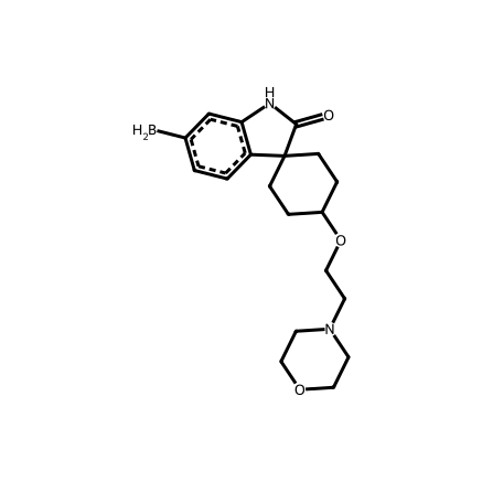 Bc1ccc2c(c1)NC(=O)C21CCC(OCCN2CCOCC2)CC1